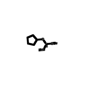 CO[SiH](OC)OC1CCCC1